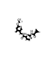 Cc1cc(OCC(F)(F)F)ncc1CNC(=O)c1ccnc(NC(=O)C2CC2)n1